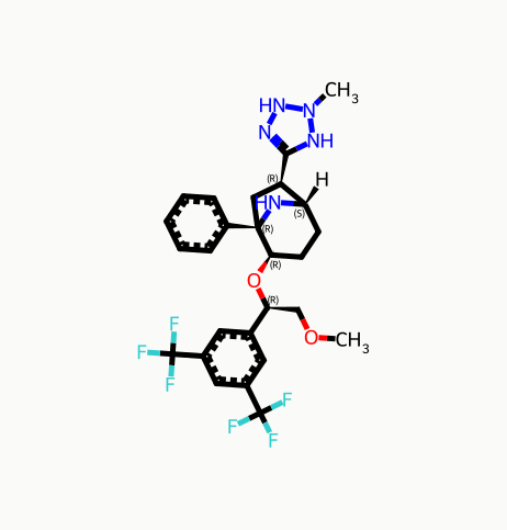 COC[C@H](O[C@@H]1CC[C@@H]2N[C@@]1(c1ccccc1)C[C@H]2C1=NNN(C)N1)c1cc(C(F)(F)F)cc(C(F)(F)F)c1